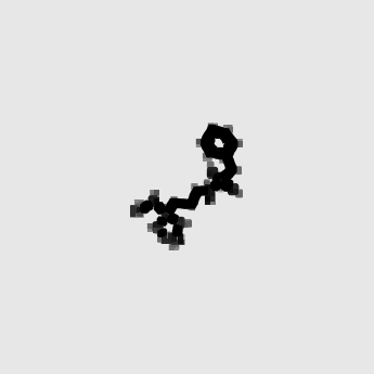 CCO[Si](CCCNS(=O)(=O)Cc1ccccc1)(OCC)OCC